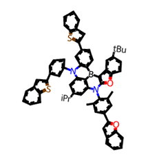 Cc1cc(-c2cc3ccccc3o2)cc(C)c1N1c2cc(C(C)C)cc3c2B(c2ccc(-c4cc5ccccc5s4)cc2N3c2cccc(-c3cc4ccccc4s3)c2)c2c1oc1ccc(C(C)(C)C)cc21